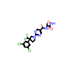 O=C1NOCC1NC(=S)c1cnc(N2CCC(c3cc(Cl)cc(Cl)c3)(C(F)F)C2)nc1